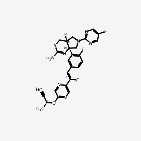 C#C[C@H](C)Oc1cnc(/C(F)=C/c2ccc(F)c([C@]34CN(c5ncc(F)cn5)C[C@H]3CSC(N)=N4)c2)cn1